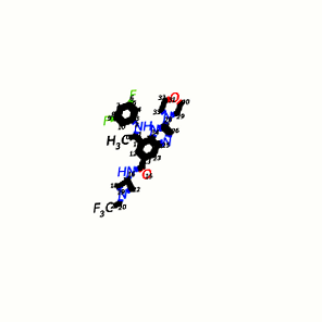 CC(Nc1cc(F)cc(F)c1)c1cc(C(=O)NC2CN(CC(F)(F)F)C2)cc2ncc(N3CCOCC3)nc12